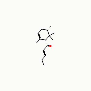 CCC=CC(=O)[C@@H]1C(C)=CC[C@@H](C)C1(C)C